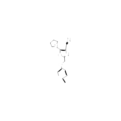 C=C/C=C\C(=C/C)OCc1nc(C#N)c(N2CCCC2)o1